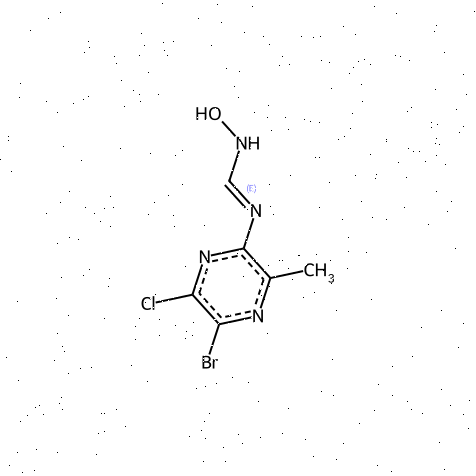 Cc1nc(Br)c(Cl)nc1/N=C/NO